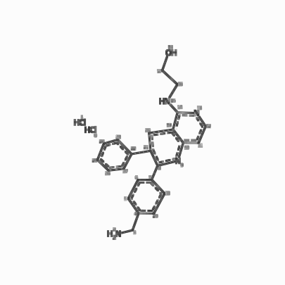 Cl.Cl.NCc1ccc(-c2nc3ccnc(NCCO)c3cc2-c2ccccc2)cc1